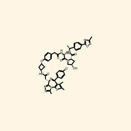 Cc1noc(-c2ccc([C@H](C)NC(=O)[C@@H]3C[C@@H](O)CN3C(=O)[C@@H](NC(=O)Cc3ccc(O[C@H]4C[C@H](NC(=O)C[C@@H]5N=C(c6ccc(Cl)cc6)c6c(sc(C)c6C)-n6c(C)nnc65)C4)cc3)C(C)(C)C)cc2)n1